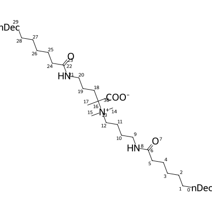 CCCCCCCCCCCCCCCC(=O)NCCCC[N+](C)(C)C(C)(CCCNC(=O)CCCCCCCCCCCCCCC)C(=O)[O-]